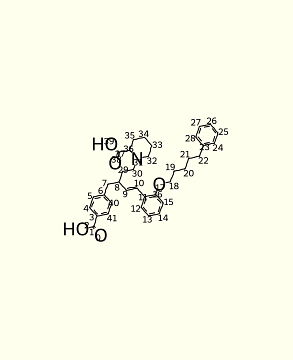 O=C(O)c1ccc(CC(/C=C/c2ccccc2OCCCCCc2ccccc2)CCN2CCCCC2C(=O)O)cc1